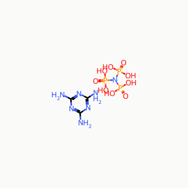 Nc1nc(N)nc(N)n1.O=P(O)(O)N(P(=O)(O)O)P(=O)(O)O